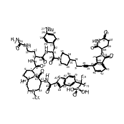 CCN1CC[C@H]2CC[C@@H](C(=O)N[C@@H](CCNC(N)=O)C(=O)N[C@@H](Cc3ccc(C(C)(C)C)cc3)C(=O)N3CCC(CCC#Cc4cccc5c4CN(C4CCC(=O)NC4=O)C5=O)CC3)N2C(=O)[C@@H](NC(=O)c2cc3cc(C(F)(F)P(=O)(O)O)ccc3s2)C1